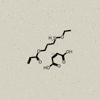 C=CC(=O)OCCC[SiH2]OCC.O=C(O)/C=C\C(=O)O